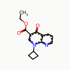 CCOC(=O)c1cn(C2CCC2)c2ncccc2c1=O